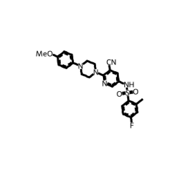 COc1ccc(N2CCN(c3ncc(NS(=O)(=O)c4ccc(F)cc4C)cc3C#N)CC2)cc1